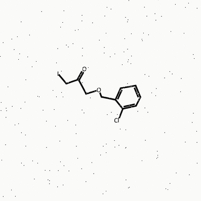 O=C(CI)COCc1ccccc1Cl